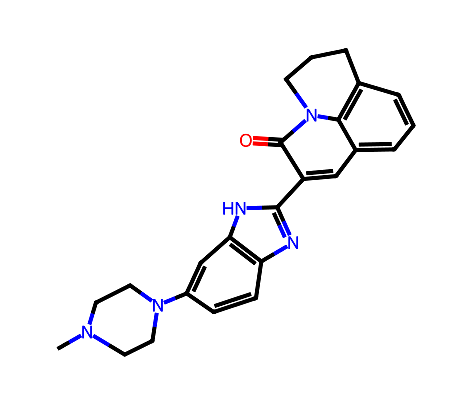 CN1CCN(c2ccc3nc(-c4cc5cccc6c5n(c4=O)CCC6)[nH]c3c2)CC1